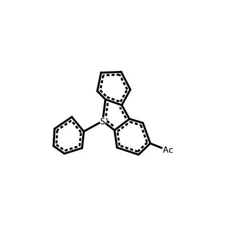 CC(=O)c1ccc2c(c1)c1ccccc1[s+]2-c1ccccc1